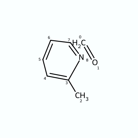 C=O.Cc1ccccn1